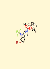 CC(C)(C)OC(=O)N1CCc2c(n(C(F)(F)F)c3cc(Br)ccc23)C1